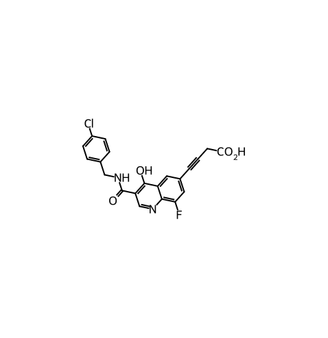 O=C(O)CC#Cc1cc(F)c2ncc(C(=O)NCc3ccc(Cl)cc3)c(O)c2c1